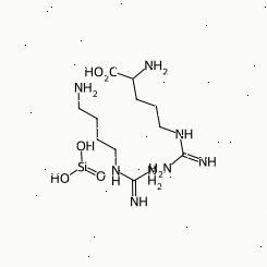 N=C(N)NCCCC(N)C(=O)O.N=C(N)NCCCCN.O=[Si](O)O